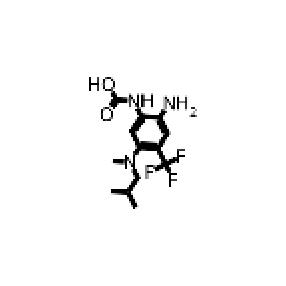 CC(C)CN(C)c1cc(NC(=O)O)c(N)cc1C(F)(F)F